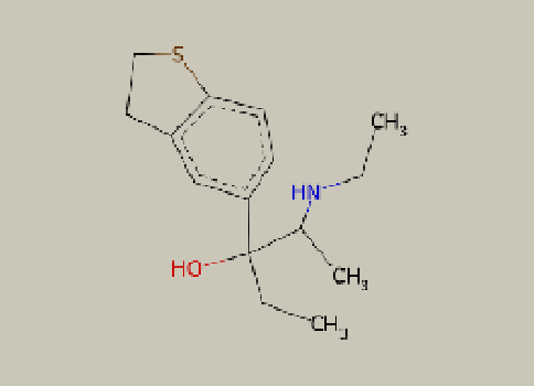 CCNC(C)C(O)(CC)c1ccc2c(c1)CCS2